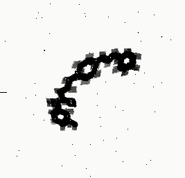 Cc1cccc(NC(=O)CCCN2CCN(CC=Cc3ccccc3)CC2)c1